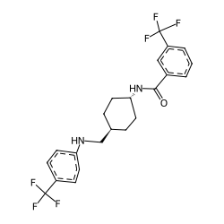 O=C(N[C@H]1CC[C@H](CNc2ccc(C(F)(F)F)cc2)CC1)c1cccc(C(F)(F)F)c1